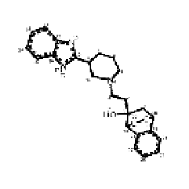 OC1(CCN2CCCC(c3nc4ccccc4[nH]3)C2)CC2CCC1c1ccccc12